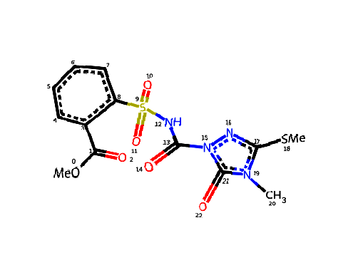 COC(=O)c1ccccc1S(=O)(=O)NC(=O)n1nc(SC)n(C)c1=O